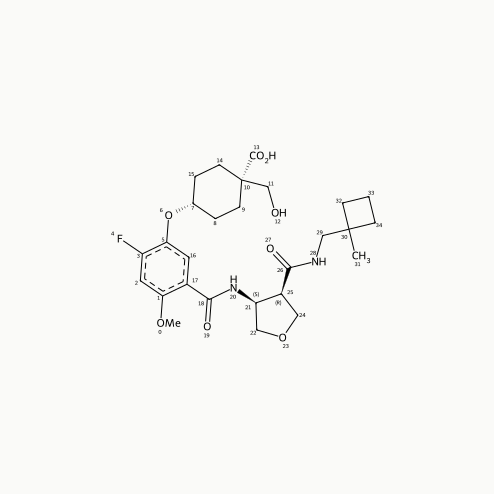 COc1cc(F)c(O[C@H]2CC[C@@](CO)(C(=O)O)CC2)cc1C(=O)N[C@@H]1COC[C@@H]1C(=O)NCC1(C)CCC1